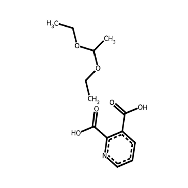 CCOC(C)OCC.O=C(O)c1cccnc1C(=O)O